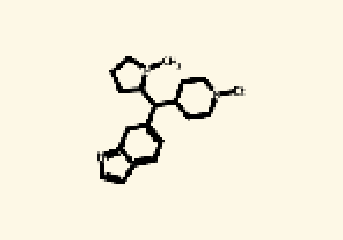 CCN1CCC(C(C2=CC=C3C=CN=C3C2)C2CCCN2C)CC1